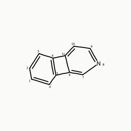 [c]1cccc2c1-c1cnccc1-2